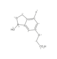 O=C(O)COc1cc(F)c2c(c1)B(O)OC2